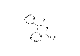 O=C(O)C1=NC(=O)C(c2ccccc2)c2ccccc21